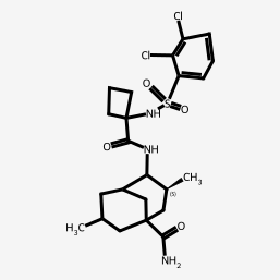 CC1CC2CC(C(N)=O)(C1)C[C@H](C)C2NC(=O)C1(NS(=O)(=O)c2cccc(Cl)c2Cl)CCC1